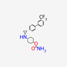 NC(=O)O[C@H]1CC[C@H](N[C@H]2C[C@@H]2c2ccc(-c3cccc(C(F)(F)F)c3)cc2)CC1